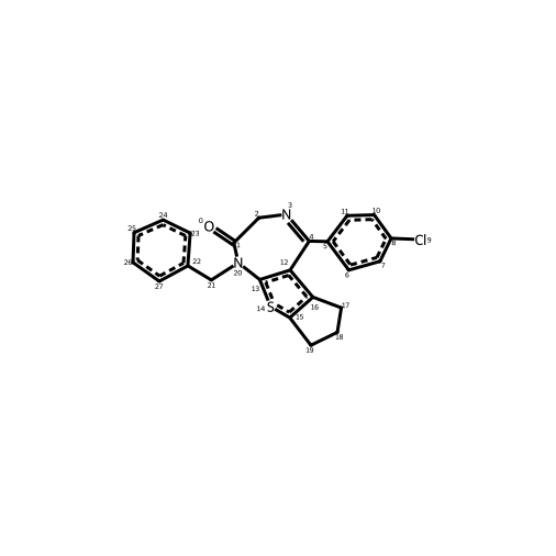 O=C1CN=C(c2ccc(Cl)cc2)c2c(sc3c2CCC3)N1Cc1ccccc1